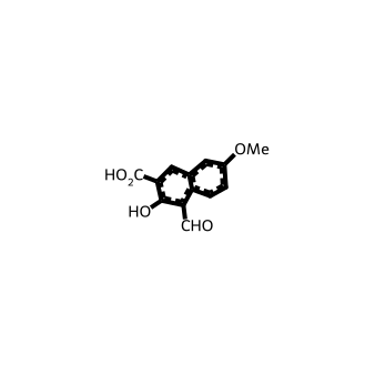 COc1ccc2c(C=O)c(O)c(C(=O)O)cc2c1